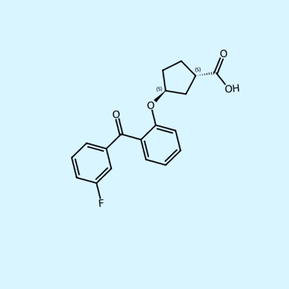 O=C(c1cccc(F)c1)c1ccccc1O[C@H]1CC[C@H](C(=O)O)C1